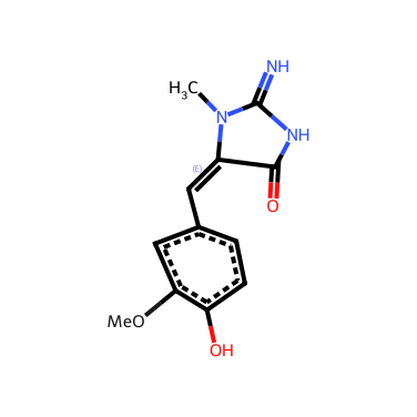 COc1cc(/C=C2\C(=O)NC(=N)N2C)ccc1O